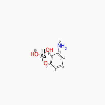 Nc1ccccc1.O=[AsH](O)O